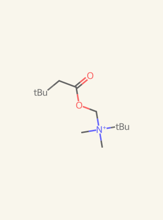 CC(C)(C)CC(=O)OC[N+](C)(C)C(C)(C)C